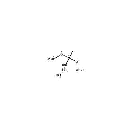 CCCCCOC(C)(OCCCCC)C(C)(C)C.Cl.N